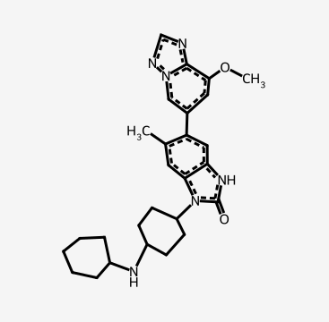 COc1cc(-c2cc3[nH]c(=O)n(C4CCC(NC5CCCCC5)CC4)c3cc2C)cn2ncnc12